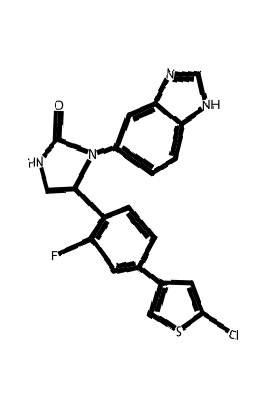 O=C1NCC(c2ccc(-c3csc(Cl)c3)cc2F)N1c1ccc2[nH]cnc2c1